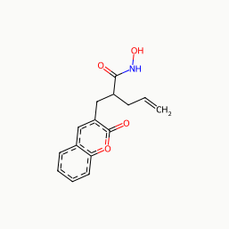 C=CCC(Cc1cc2ccccc2oc1=O)C(=O)NO